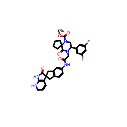 CC(C)(C)OC(=O)N1CC(c2cc(F)cc(F)c2)N(CC(=O)Nc2ccc3c(c2)CC2(C3)C(=O)NC3=C2C=CCN3)C(=O)C12CCCC2